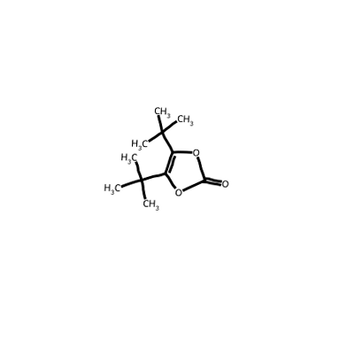 CC(C)(C)c1oc(=O)oc1C(C)(C)C